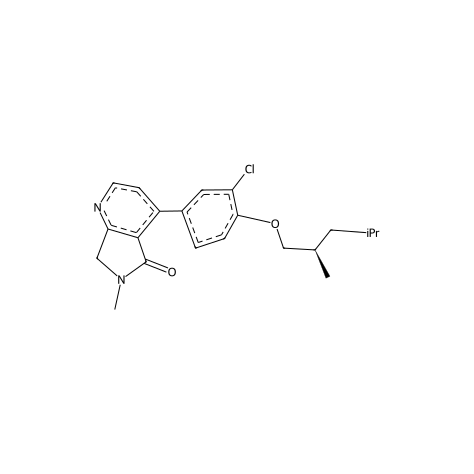 CC(C)C[C@@H](C)COc1ccc(-c2ccnc3c2C(=O)N(C)C3)cc1Cl